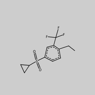 CCc1ccc(S(=O)(=O)C2CC2)cc1C(F)(F)F